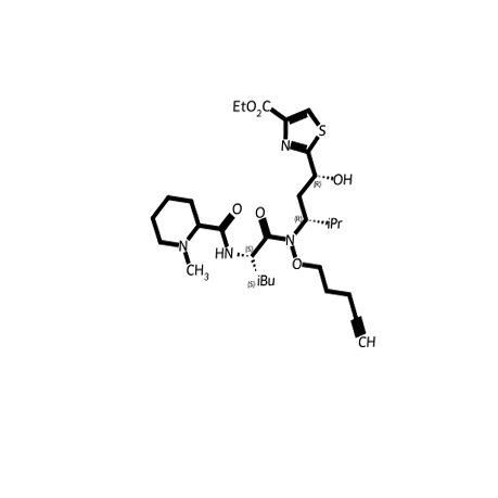 C#CCCCON(C(=O)[C@@H](NC(=O)C1CCCCN1C)[C@@H](C)CC)[C@H](C[C@@H](O)c1nc(C(=O)OCC)cs1)C(C)C